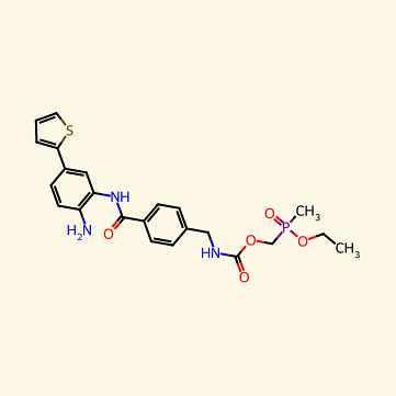 CCOP(C)(=O)COC(=O)NCc1ccc(C(=O)Nc2cc(-c3cccs3)ccc2N)cc1